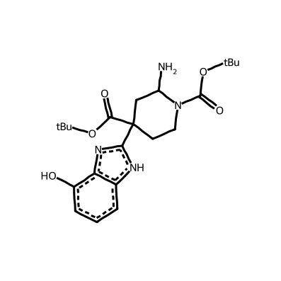 CC(C)(C)OC(=O)N1CCC(C(=O)OC(C)(C)C)(c2nc3c(O)cccc3[nH]2)CC1N